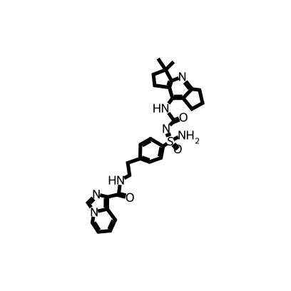 CC1(C)CCc2c1nc1c(c2NC(=O)N=S(N)(=O)c2ccc(CCNC(=O)c3ncn4ccccc34)cc2)CCC1